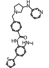 O=C(Nc1cc(-c2cccs2)ccc1NI)c1ccc(CN2CCC(Nc3cccnc3)C2)cc1